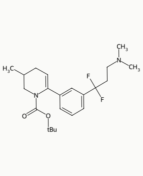 CC1CC=C(c2cccc(C(F)(F)CCN(C)C)c2)N(C(=O)OC(C)(C)C)C1